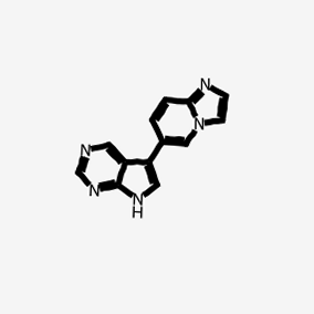 c1ncc2c(-c3ccc4nccn4c3)c[nH]c2n1